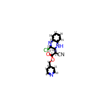 N#C/C(C(=O)OCc1ccncc1)=C1\Nc2ccccc2N=C1Cl